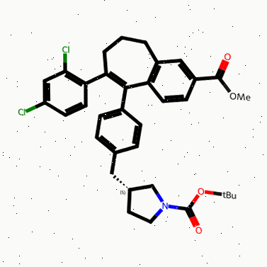 COC(=O)c1ccc2c(c1)CCCC(c1ccc(Cl)cc1Cl)=C2c1ccc(C[C@H]2CCN(C(=O)OC(C)(C)C)C2)cc1